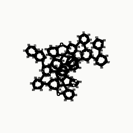 c1ccc(-c2cc(-c3ccc4ccccc4c3)nc(-c3ccccc3-c3ccc4c(c3)Oc3ccccc3C43c4ccccc4-c4c(-c5ccc(-c6cc(-c7ccccc7-c7ccccc7)nc(-c7ccccc7-c7ccc8c(c7)Oc7ccccc7C87c8ccccc8-c8ccccc87)n6)cc5)cccc43)n2)cc1